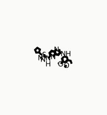 CCC1=C(OC)C(OC)=CC(Nc2cnc3ccc(Nc4nnc(C5CCCC5)s4)nc3c2)C1